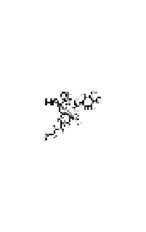 CCCCCN1CC[C@H](CCOc2ccc(Cl)c(C)c2)[C@@H](OC)C1.O=C(O)C(=O)O